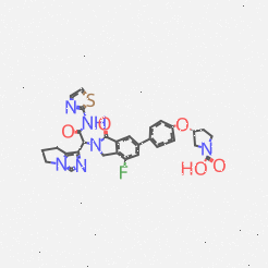 O=C(Nc1nccs1)C(c1ncn2c1CCC2)N1Cc2c(F)cc(-c3ccc(O[C@@H]4CCN(C(=O)O)C4)cc3)cc2C1=O